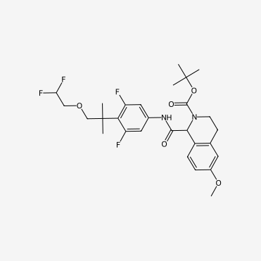 COc1ccc2c(c1)CCN(C(=O)OC(C)(C)C)C2C(=O)Nc1cc(F)c(C(C)(C)COCC(F)F)c(F)c1